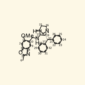 COc1cc2oc(C)nc2cc1CN[C@H]1[C@@H]2CC[N@](C2)[C@@H]1C(c1ccccc1)c1ccccc1